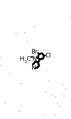 CCn1c2cnccc2c2cc(Cl)cc(Br)c21